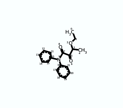 CCOC(C)C(=O)C(=O)N(c1ccccc1)c1ccccc1